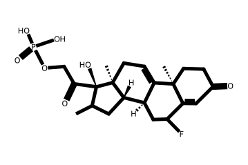 CC1C[C@H]2[C@@H]3CC(F)C4=CC(=O)CC[C@]4(C)C3=CC[C@]2(C)[C@@]1(O)C(=O)COP(=O)(O)O